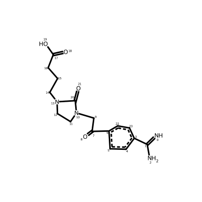 N=C(N)c1ccc(C(=O)CN2CCN(CCCC(=O)O)C2=O)cc1